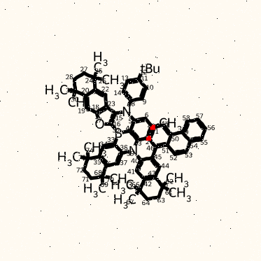 Cc1cc2c3c(c1)N(c1ccc(C(C)(C)C)cc1)c1c(oc4cc5c(cc14)C(C)(C)CCC5(C)C)B3c1cc3c(cc1N2c1cc2c(cc1-c1cccc4c1ccc1ccccc14)C(C)(C)CCC2(C)C)C(C)(C)CCC3(C)C